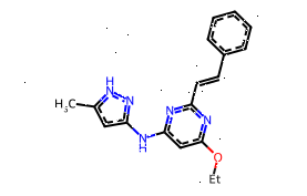 CCOc1cc(Nc2cc(C)[nH]n2)nc(/C=C/c2ccccc2)n1